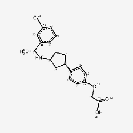 C[C@@H](NC1CCC(c2ccc(OCC(=O)O)cc2)C1)c1cccc(Cl)c1